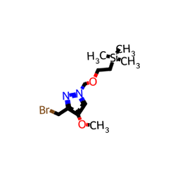 COc1cn(COCC[Si](C)(C)C)nc1CBr